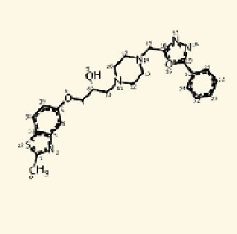 Cc1nc2cc(OC[C@H](O)CN3CCN(Cc4nnc(-c5ccccc5)o4)CC3)ccc2s1